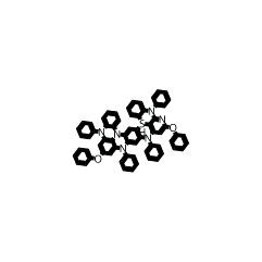 c1ccc(Oc2cc3c4c(c2)N(c2ccccc2)c2cc5c(cc2N4c2ccccc2N3c2ccccc2)[SH]2c3ccccc3N(c3ccccc3)c3nc(Oc4ccccc4)cc(c32)N5c2ccccc2)cc1